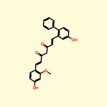 COc1cc(O)ccc1C=CC(=O)CC(=O)C=Cc1cc(O)ccc1-c1ccccc1